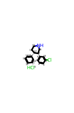 Cl.Clc1cccc([C@H]2CNCC[C@H]2c2ccccc2)c1